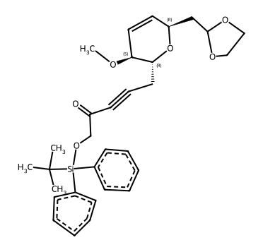 CO[C@H]1C=C[C@@H](CC2OCCO2)O[C@@H]1CC#CC(=O)CO[Si](c1ccccc1)(c1ccccc1)C(C)(C)C